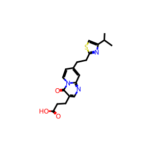 CC(C)c1csc(CCc2ccn3c(=O)c(CCC(=O)O)cnc3c2)n1